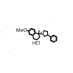 COc1ccc2c(c1)CCCC2(C)N1CCC(c2ccccc2)C1.Cl